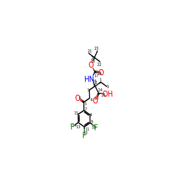 CC[C@@](CCC(=O)c1cc(F)c(F)c(F)c1)(NC(=O)OC(C)(C)C)C(=O)O